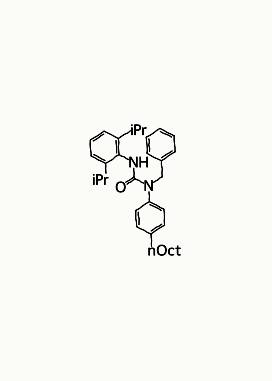 CCCCCCCCc1ccc(N(Cc2ccccc2)C(=O)Nc2c(C(C)C)cccc2C(C)C)cc1